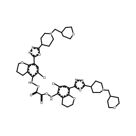 O=C(ONc1c(Cl)cc(-c2nnc(C3CCN(CC4CCOCC4)CC3)o2)c2c1CCCO2)C(=O)ONc1c(Cl)cc(-c2nnc(C3CCN(CC4CCOCC4)CC3)o2)c2c1CCCO2